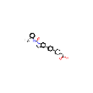 Cc1ccccc1NC(=O)N1CCc2cc(-c3ccc(C4CCC(CC(=O)O)CC4)cc3)ccc21